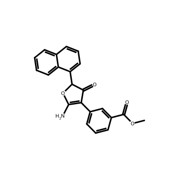 COC(=O)c1cccc(C2=C(N)OC(c3cccc4ccccc34)C2=O)c1